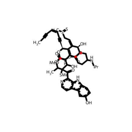 CC#C/C=C\C#C[C@H](OC1OC(C)C(SC)(C(=O)c2nccc3c2[nH]c2ccc(O)cc23)C(O)C1OC1CCC(NC(C)C)CO1)C1=C(NC(=O)OC)C(=O)C[C@H](O)/C1=C/CS(C)=S